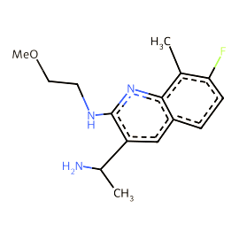 COCCNc1nc2c(C)c(F)ccc2cc1C(C)N